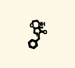 CC12NCCOC1CN(Cc1ccccc1)C2=O